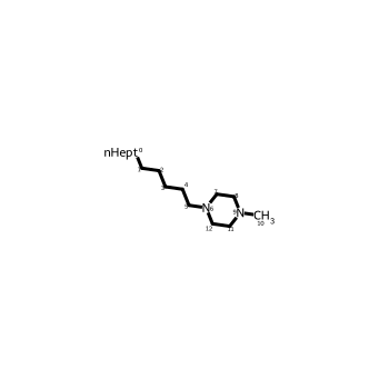 [CH2]CCCCCCCCCCCN1CCN(C)CC1